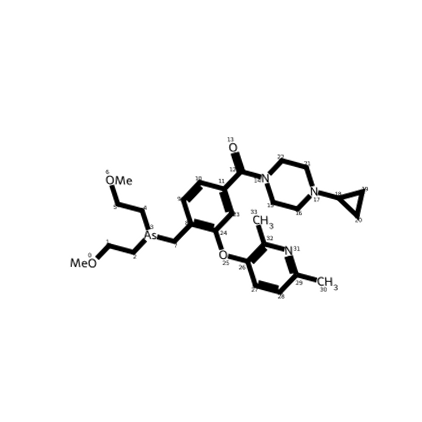 COCC[As](CCOC)Cc1ccc(C(=O)N2CCN(C3CC3)CC2)cc1Oc1ccc(C)nc1C